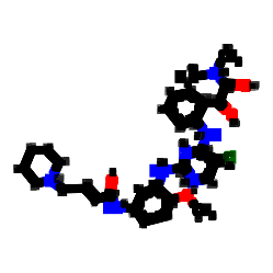 COc1ccc(NC(=O)C=CCN2CCCCC2)cc1Nc1ncc(Cl)c(Nc2ccccc2C(=O)C(=O)N(C)C)n1